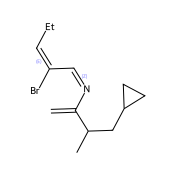 C=C(/N=C\C(Br)=C/CC)C(C)CC1CC1